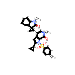 Cc1ccc(S(=O)(=O)n2c(C3CC3)cc3c([C@@H]4C[C@@]45C(=O)N(C)c4ccccc45)cn(C)c(=O)c32)cc1